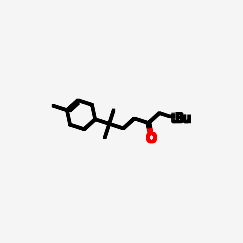 CC1=CCC(C(C)(C)CCC(=O)CC(C)(C)C)CC1